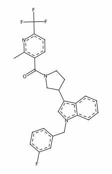 Cc1nc(C(F)(F)F)ccc1C(=O)N1CCC(c2cn(Cc3cccc(F)c3)c3ccccc23)C1